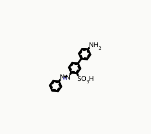 Nc1ccc(-c2ccc(/N=N/c3ccccc3)c(S(=O)(=O)O)c2)cc1